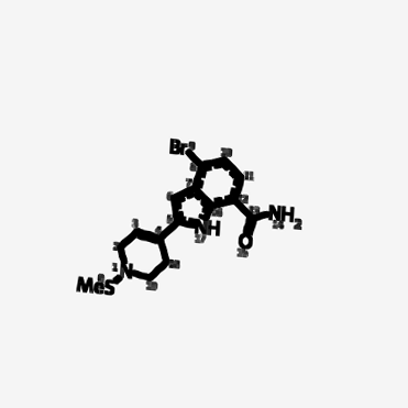 CSN1CC=C(c2cc3c(Br)ccc(C(N)=O)c3[nH]2)CC1